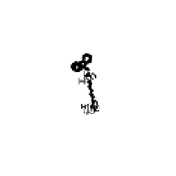 O=C(NCCCCCCOP(=O)(O)O)OCC1c2ccccc2-c2ccccc21